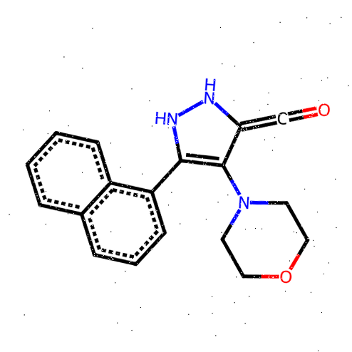 O=C=C1NNC(c2cccc3ccccc23)=C1N1CCOCC1